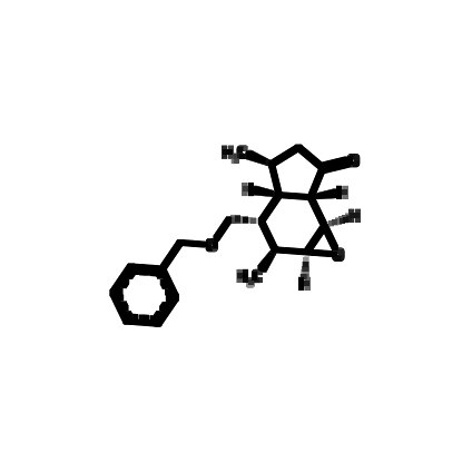 C[C@H]1[C@H](COCc2ccccc2)[C@H]2[C@H](C(=O)C[C@@H]2C)[C@H]2O[C@@H]12